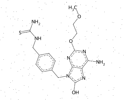 COCCOc1nc(N)c2nc(O)n(Cc3ccc(CNC(N)=S)cc3)c2n1